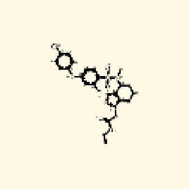 CCOC(=O)Cn1ncc2c1CCCC2N(C)S(=O)(=O)c1ccc(Oc2ccc(Cl)cc2)cc1Cl